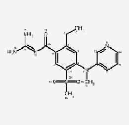 CCc1cc(N(C)c2cccnc2)c(S(C)(=O)=O)cc1C(=O)N=C(N)N